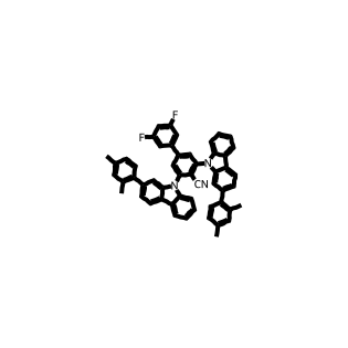 Cc1ccc(-c2ccc3c4ccccc4n(-c4cc(-c5cc(F)cc(F)c5)cc(-n5c6ccccc6c6ccc(-c7ccc(C)cc7C)cc65)c4C#N)c3c2)c(C)c1